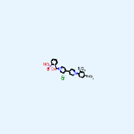 O=[N+]([O-])c1ccc(-[n+]2ccc(-c3cc[n+](Cc4ccccc4P(=O)(O)O)cc3)cc2)c([N+](=O)[O-])c1.[Cl-].[Cl-]